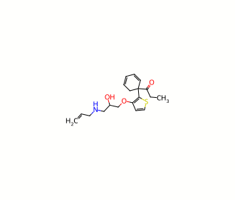 C=CCNCC(O)COc1ccsc1C1(C(=O)CC)C=CC=CC1